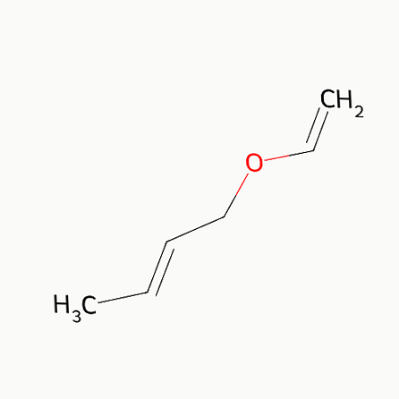 C=COCC=CC